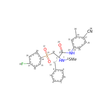 CSN[C@@](Cc1ccccc1)(CS(=O)(=O)c1ccc(F)cc1)C(=O)Nc1ccc(C#N)c(C)c1